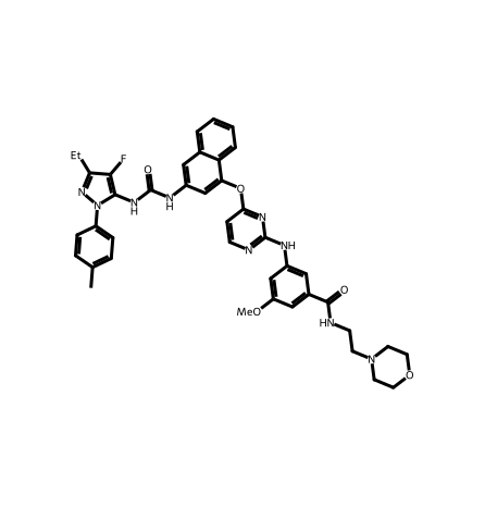 CCc1nn(-c2ccc(C)cc2)c(NC(=O)Nc2cc(Oc3ccnc(Nc4cc(OC)cc(C(=O)NCCN5CCOCC5)c4)n3)c3ccccc3c2)c1F